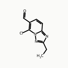 CCc1nc2ccc(C=O)c(Cl)n2n1